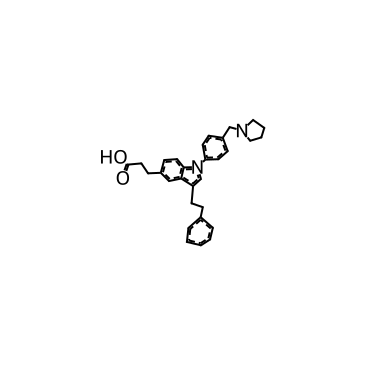 O=C(O)CCc1ccc2c(c1)c(CCc1ccccc1)cn2-c1ccc(CN2CCCC2)cc1